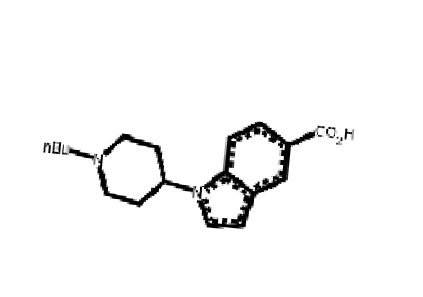 CCCCN1CCC(n2ccc3cc(C(=O)O)ccc32)CC1